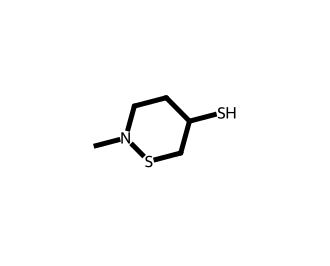 CN1CCC(S)CS1